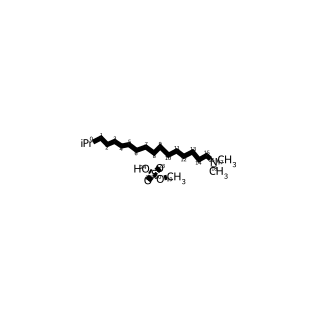 CC(C)CCCCCCCCCCCCCCCN(C)C.COS(=O)(=O)O